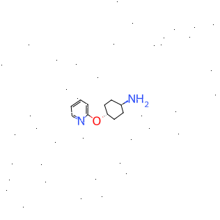 N[C@H]1CC[C@H](Oc2ccccn2)CC1